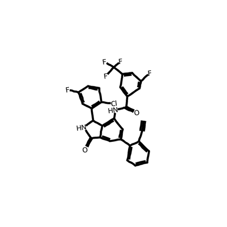 C#Cc1ccccc1-c1cc(NC(=O)c2cc(F)cc(C(F)(F)F)c2)c2c(c1)C(=O)NC2c1cc(F)ccc1Cl